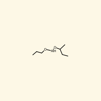 CCC[O][AlH][O]C(C)CC